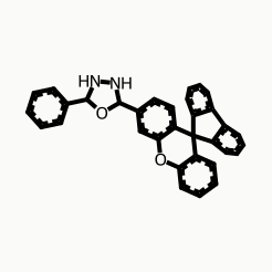 c1ccc(C2NNC(c3ccc4c(c3)Oc3ccccc3C43c4ccccc4-c4ccccc43)O2)cc1